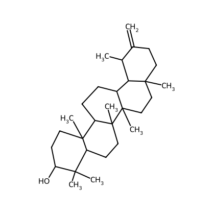 C=C1CCC2(C)CCC3(C)C(CCC4C5(C)CCC(O)C(C)(C)C5CCC43C)C2C1C